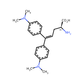 CN(C)c1ccc(C(=CC[C@H](N)C(=O)O)c2ccc(N(C)C)cc2)cc1